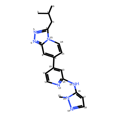 CC(C)Cc1nnc2cc(-c3ccnc(Nc4ccnn4C)c3)ccn12